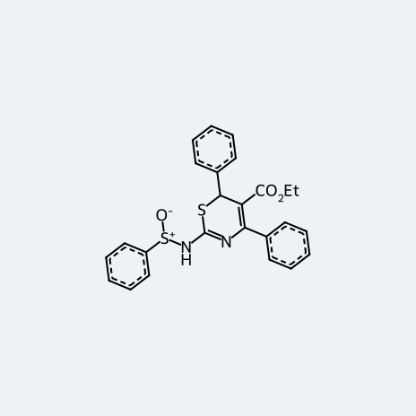 CCOC(=O)C1=C(c2ccccc2)N=C(N[S+]([O-])c2ccccc2)SC1c1ccccc1